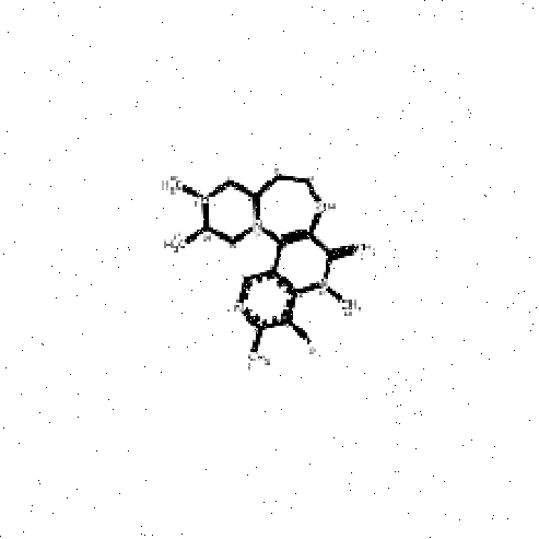 C=C1C2=C(c3cnc(C)c(F)c3N1C)N1CC(C)N(C)CC1CCO2